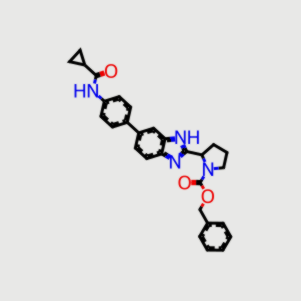 O=C(Nc1ccc(-c2ccc3nc(C4CCCN4C(=O)OCc4ccccc4)[nH]c3c2)cc1)C1CC1